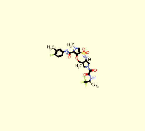 Cc1cc(NC(=O)c2c3c(cn2C)S(=O)(=O)N[C@H]2CN(C(=O)C(=O)N[C@H](C)C(F)(F)F)C[C@@]2(C)CO3)ccc1F